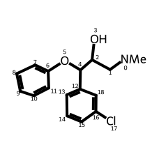 CNCC(O)C(Oc1ccccc1)c1cccc(Cl)c1